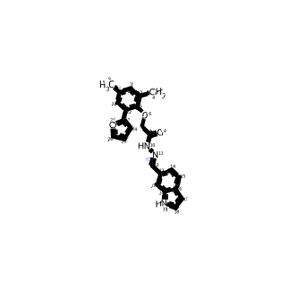 Cc1cc(C)c(OCC(=O)N/N=C/c2ccc3cc[nH]c3c2)c(-c2ccco2)c1